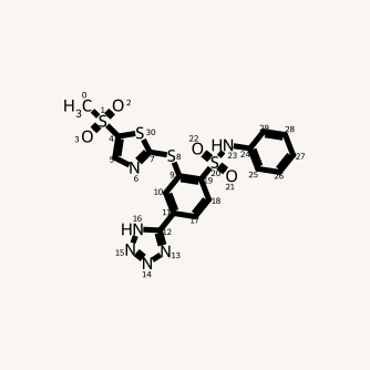 CS(=O)(=O)c1cnc(Sc2cc(-c3nnn[nH]3)ccc2S(=O)(=O)Nc2ccccc2)s1